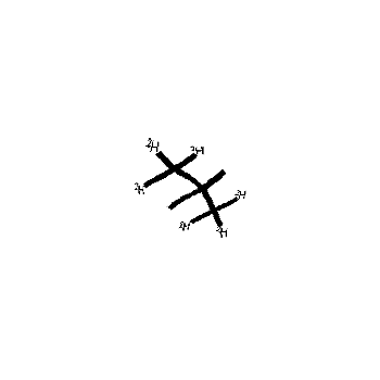 [2H]C([2H])([2H])C(C)(C)C([2H])([2H])[2H]